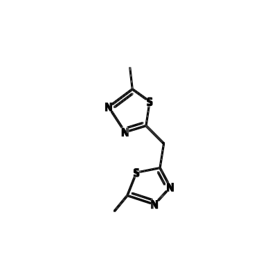 Cc1nnc(Cc2nnc(C)s2)s1